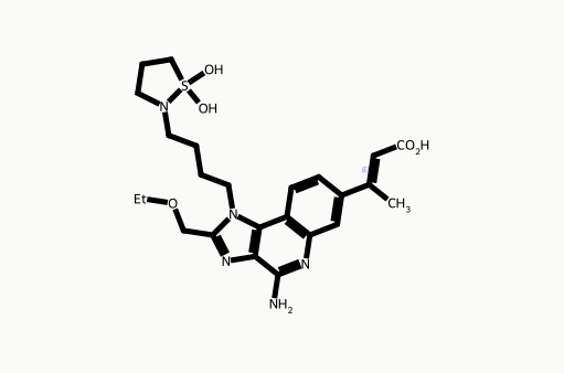 CCOCc1nc2c(N)nc3cc(/C(C)=C/C(=O)O)ccc3c2n1CCCCN1CCCS1(O)O